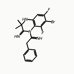 CC1(C)Nc2cc(F)c(Br)c(F)c2N(C(=N)Cc2ccccc2)C1=N